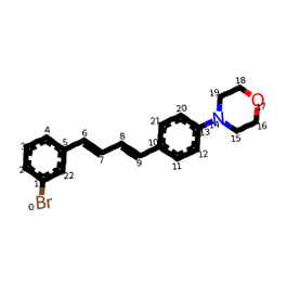 Brc1cccc(/C=C/C=C/c2ccc(N3CCOCC3)cc2)c1